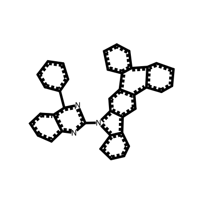 c1ccc(-c2nc(-n3c4ccccc4c4cc5c6ccccc6c6ccccc6c5cc43)nc3ccccc23)cc1